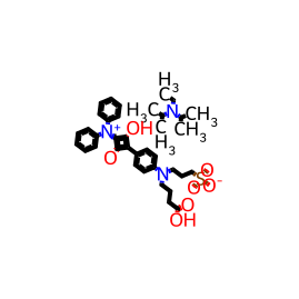 CCN(C(C)C)C(C)C.O=C(O)CCCN(CCCS(=O)(=O)[O-])c1ccc(-c2c(O)c(=[N+](c3ccccc3)c3ccccc3)c2=O)cc1